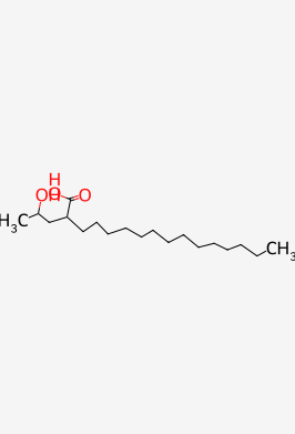 CCCCCCCCCCCCCCC(CC(C)O)C(=O)O